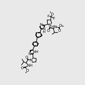 COC(=O)NC(C(=O)N1CCCC1c1ncc(-c2ccc(-c3ccc(-c4cnc(C5CC(C(F)(F)OC)CN5C(=O)C(NC(=O)OC)C(C)C)[nH]4)cc3)cc2)[nH]1)C(C)C